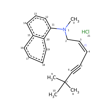 CN(C/C=C\C#CC(C)(C)C)c1cccc2ccccc12.Cl